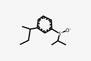 CCC(C)c1cccc([S+]([O-])C(C)C)c1